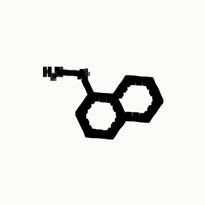 [NH2][Al][c]1cccc2ccccc12